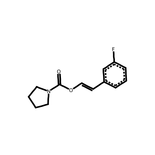 O=C(O/C=C/c1cccc(F)c1)N1CCCC1